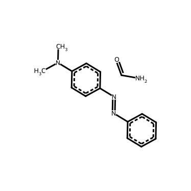 CN(C)c1ccc(/N=N/c2ccccc2)cc1.NC=O